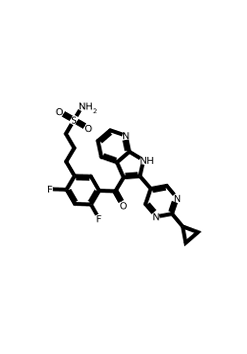 NS(=O)(=O)CCCc1cc(C(=O)c2c(-c3cnc(C4CC4)nc3)[nH]c3ncccc23)c(F)cc1F